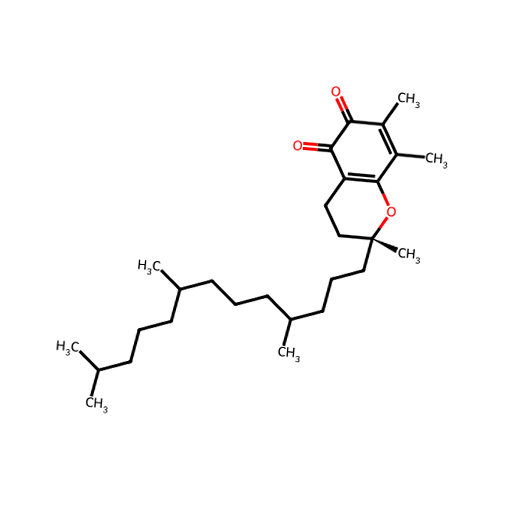 CC1=C(C)C2=C(CC[C@@](C)(CCCC(C)CCCC(C)CCCC(C)C)O2)C(=O)C1=O